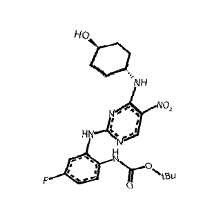 CC(C)(C)OC(=O)Nc1ccc(F)cc1Nc1ncc([N+](=O)[O-])c(N[C@H]2CC[C@H](O)CC2)n1